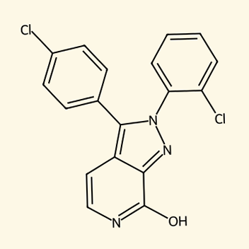 Oc1nccc2c(-c3ccc(Cl)cc3)n(-c3ccccc3Cl)nc12